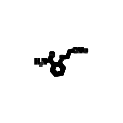 COCCSc1ccccc1C(N)=O